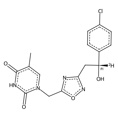 [2H][C@@](O)(Cc1noc(Cn2cc(C)c(=O)[nH]c2=O)n1)c1ccc(Cl)cc1